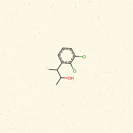 [CH2]C(c1cccc(Cl)c1Cl)C(C)O